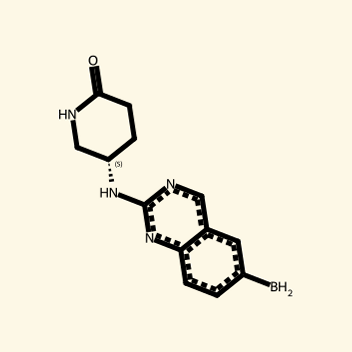 Bc1ccc2nc(N[C@H]3CCC(=O)NC3)ncc2c1